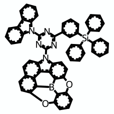 c1ccc([Si](c2ccccc2)(c2ccccc2)c2cccc(-c3nc(-n4c5ccccc5c5ccccc54)nc(-n4c5ccc6c7c5c5c8c9c(ccc8ccc54)Oc4cccc(c4B97)O6)n3)c2)cc1